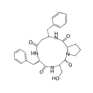 O=C1CC(Cc2ccccc2)NC(=O)C2CCCN2C(=O)C(CO)NC(=O)C(Cc2ccccc2)N1